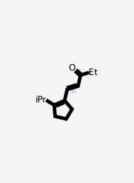 CCC(=O)/C=C/C1=C(C(C)C)CCC1